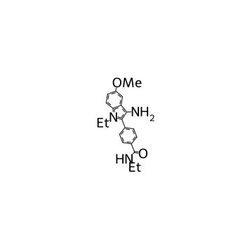 CCNC(=O)c1ccc(-c2c(N)c3cc(OC)ccc3n2CC)cc1